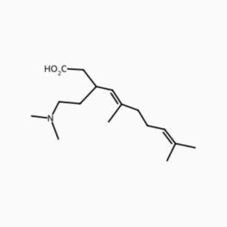 CC(C)=CCC/C(C)=C/C(CCN(C)C)CC(=O)O